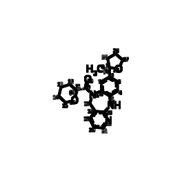 C[C@]1(c2ccc3c(c2)N(C(=O)[C@H]2CCCCO2)Cc2cccnc2N3)CCCO1